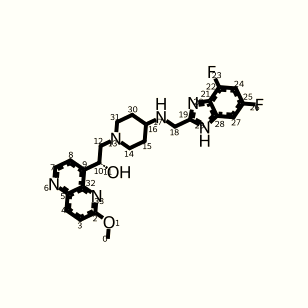 COc1ccc2nccc([C@@H](O)CN3CCC(NCc4nc5c(F)cc(F)cc5[nH]4)CC3)c2n1